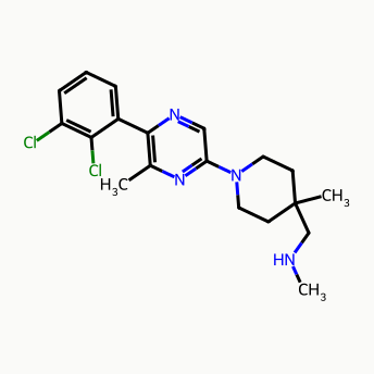 CNCC1(C)CCN(c2cnc(-c3cccc(Cl)c3Cl)c(C)n2)CC1